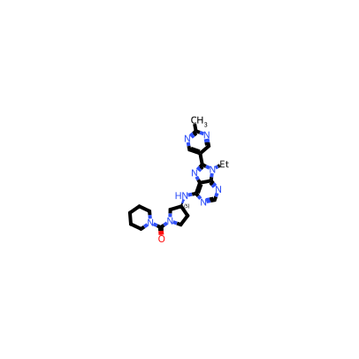 CCn1c(-c2cnc(C)nc2)nc2c(N[C@H]3CCN(C(=O)N4CCCCC4)C3)ncnc21